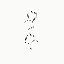 CNc1ccc(/C=C/c2ccccc2C)cc1C